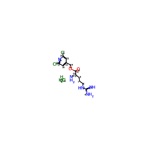 Cl.Cl.N=C(N)NCCC[C@H](N)C(=O)OCc1cc(Cl)nc(Cl)c1